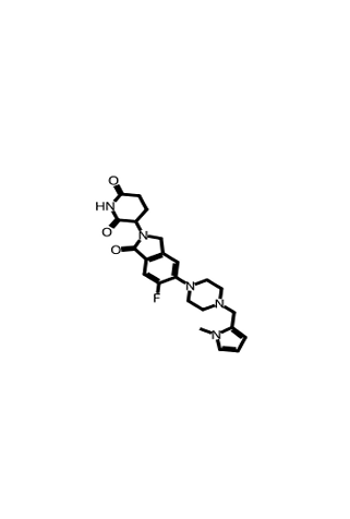 Cn1cccc1CN1CCN(c2cc3c(cc2F)C(=O)N(C2CCC(=O)NC2=O)C3)CC1